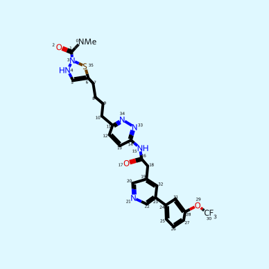 CNC(=O)N1NC=C(CCCCc2ccc(NC(=O)Cc3cncc(-c4cccc(OC(F)(F)F)c4)c3)nn2)S1